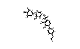 CCCc1ccc(-c2ccc(C(F)(F)Oc3ccc(-c4cc(F)c(F)c(F)c4)c(F)c3)c(Cl)c2F)cc1